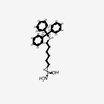 NP(O)OCCCCCCSC(c1ccccc1)(c1ccccc1)c1ccccc1